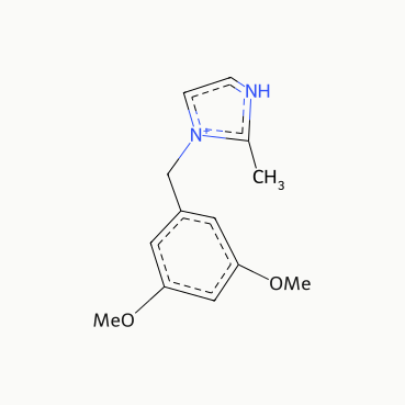 COc1cc(C[n+]2cc[nH]c2C)cc(OC)c1